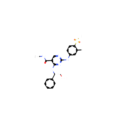 Cc1cc(Nc2ncc(C(=O)NC(C)C)c(N[C@H](CO)c3ccccc3)n2)ccc1S(C)(=O)=O